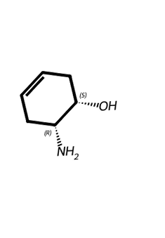 N[C@@H]1CC=CC[C@@H]1O